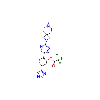 CN1CCC2(CC1)CN(c1ncc(-c3ccc(-c4ncns4)cc3OC(=O)C(F)(F)F)nn1)C2